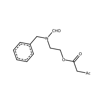 CC(=O)CC(=O)OCCN(C=O)Cc1ccccc1